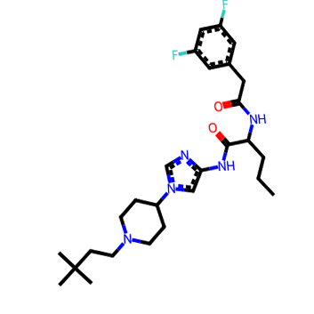 CCCC(NC(=O)Cc1cc(F)cc(F)c1)C(=O)Nc1cn(C2CCN(CCC(C)(C)C)CC2)cn1